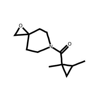 CC1CC1(C)C(=O)N1CCC2(CC1)CO2